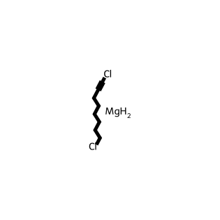 ClC#CCCCCCCCl.[MgH2]